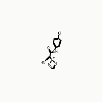 C[N+]1(C(=CO)C(=O)Nc2ccc(Cl)cc2)N=CN=N1